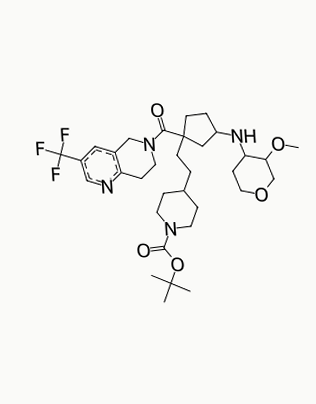 COC1COCCC1NC1CCC(CCC2CCN(C(=O)OC(C)(C)C)CC2)(C(=O)N2CCc3ncc(C(F)(F)F)cc3C2)C1